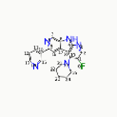 Fc1cnc2[nH]c3cnc(-c4cccnc4)cc3c2c1N1CCCCC1